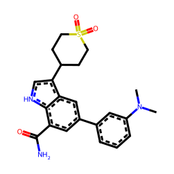 CN(C)c1cccc(-c2cc(C(N)=O)c3[nH]cc(C4CCS(=O)(=O)CC4)c3c2)c1